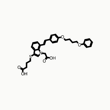 O=C(O)CCCSc1cn(CC(=O)O)c2c(C=Cc3ccc(OCCCCOc4ccccc4)cc3)cccc12